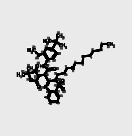 CCCCCCCCOCCCN1C(C(C(=O)Nc2ccc(C(C)(C)C)cc2SC)N2C(=O)OC(C)(C)C2=O)=Nc2ccccc2S1(=O)=O